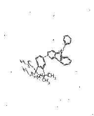 CC(C)(C)c1ccc(-c2ccc3c(c2)c2ccccc2n3-c2ccccc2)cc1C(C)(C)C